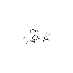 CCN1Cc2c(cc(-c3cnc4[nH]cc(C)c4c3)cc2[C@@H]2CCCN2)NC1=O